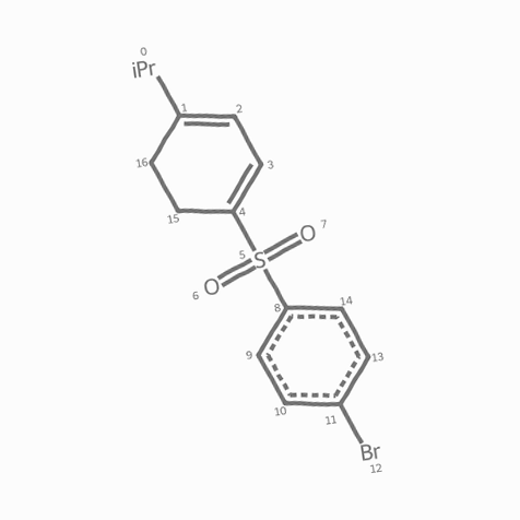 CC(C)C1=CC=C(S(=O)(=O)c2ccc(Br)cc2)CC1